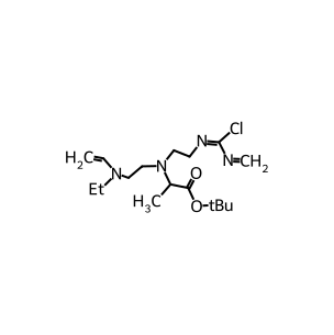 C=CN(CC)CCN(CC/N=C(/Cl)N=C)C(C)C(=O)OC(C)(C)C